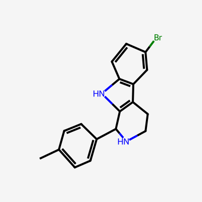 Cc1ccc(C2NCCc3c2[nH]c2ccc(Br)cc32)cc1